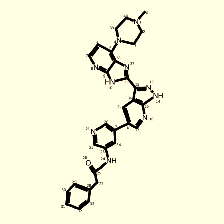 CN1CCN(c2ccnc3[nH]c(-c4n[nH]c5ncc(-c6cncc(NC(=O)Cc7ccccc7)c6)cc45)nc23)CC1